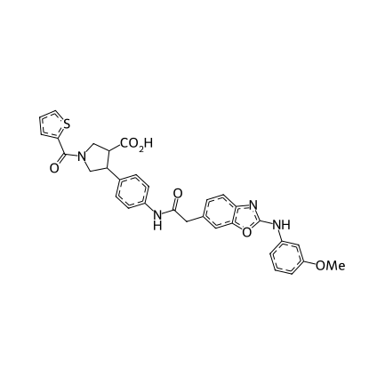 COc1cccc(Nc2nc3ccc(CC(=O)Nc4ccc(C5CN(C(=O)c6cccs6)CC5C(=O)O)cc4)cc3o2)c1